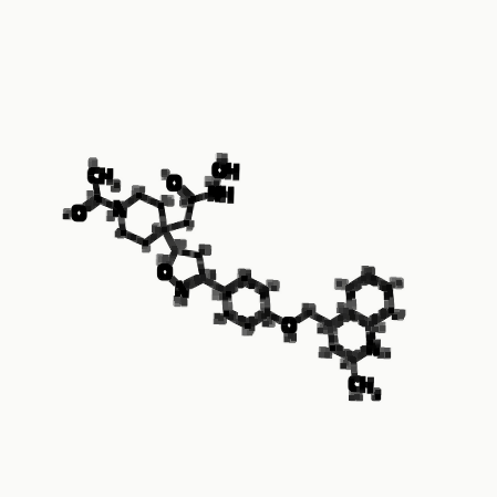 CC(=O)N1CCC(CC(=O)NO)(C2CC(c3ccc(OCc4cc(C)nc5ccccc45)cc3)=NO2)CC1